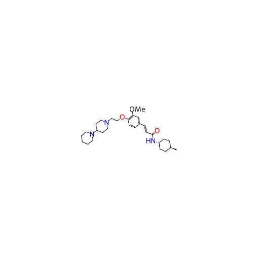 COc1cc(/C=C/C(=O)N[C@H]2CC[C@H](C)CC2)ccc1OCCN1CCC(N2CCCCC2)CC1